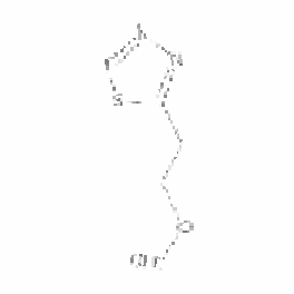 O=COCCc1nncs1